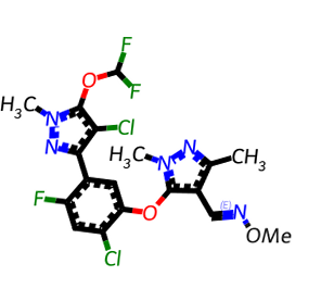 CO/N=C/c1c(C)nn(C)c1Oc1cc(-c2nn(C)c(OC(F)F)c2Cl)c(F)cc1Cl